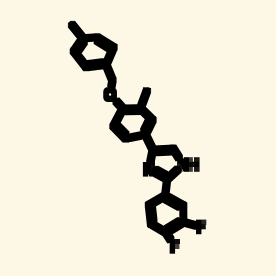 Cc1ccc(COc2ccc(-c3c[nH]c(-c4ccc(F)c(F)c4)n3)cc2C)cc1